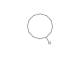 ClC1CCCCCCCCCCC1